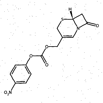 O=C(OCC1=CN2C(=O)C[C@H]2SC1)Oc1ccc([N+](=O)[O-])cc1